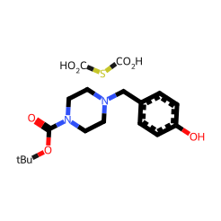 CC(C)(C)OC(=O)N1CCN(Cc2ccc(O)cc2)CC1.O=C(O)SC(=O)O